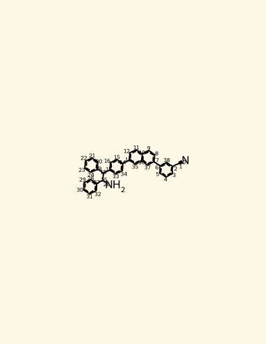 N#Cc1cccc(-c2ccc3ccc(-c4ccc(C(c5ccccc5)C(N)c5ccccc5)cc4)cc3c2)c1